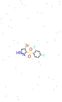 O=S(=O)(c1ccc(F)cc1F)c1n[nH]cc1Br